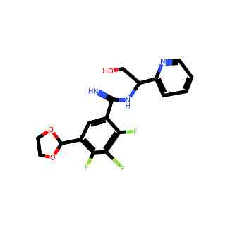 N=C(NC(CO)c1ccccn1)c1cc(C2OCCO2)c(F)c(F)c1F